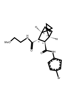 COCCNC(=O)[C@H]1[C@H](C(=O)Nc2ccc(Br)cc2)[C@@H]2C=C[C@H]1C21CC1